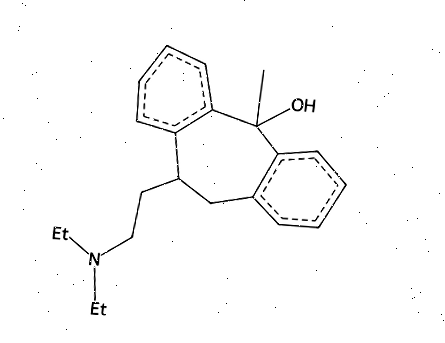 CCN(CC)CCC1Cc2ccccc2C(C)(O)c2ccccc21